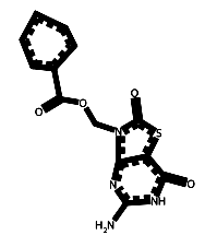 Nc1nc2c(sc(=O)n2COC(=O)c2ccccc2)c(=O)[nH]1